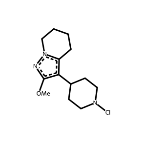 COc1nn2c(c1C1CCN(Cl)CC1)CCCC2